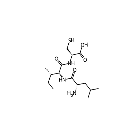 CC[C@H](C)[C@H](NC(=O)[C@@H](N)CC(C)C)C(=O)N[C@@H](CS)C(=O)O